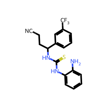 N#CCCC(NC(=S)Nc1ccccc1N)c1cccc(C(F)(F)F)c1